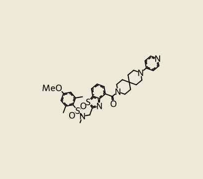 COc1cc(C)c(S(=O)(=O)N(C)Cc2nc3c(C(=O)N4CCC5(CC4)CCN(c4ccncc4)CC5)cccc3s2)c(C)c1